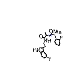 C=C(/C=C(/Cc1ccccc1F)OC)C(=O)NCCc1c[nH]c2ccc(F)cc12